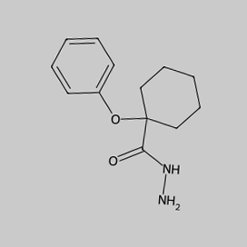 NNC(=O)C1(Oc2ccccc2)CCCCC1